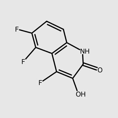 O=c1[nH]c2ccc(F)c(F)c2c(F)c1O